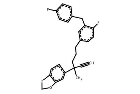 C#CC(C)(CCCc1ccc(F)c(Cc2ccc(F)cc2)c1)c1ccc2c(c1)OCO2